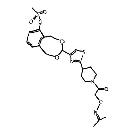 CC(C)=NOCC(=O)N1CCC(c2nc(C3OCc4cccc(OS(C)(=O)=O)c4CO3)cs2)CC1